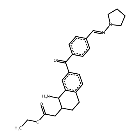 CCOC(=O)CC1CCc2ccc(C(=O)c3ccc(C=NN4CCCC4)cc3)cc2C1N